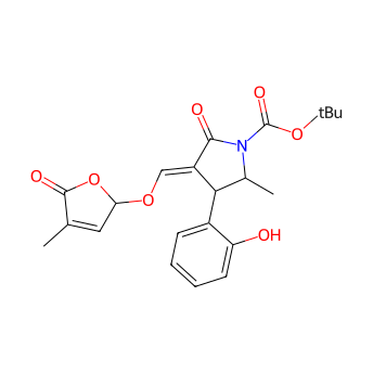 CC1=CC(O/C=C2/C(=O)N(C(=O)OC(C)(C)C)C(C)C2c2ccccc2O)OC1=O